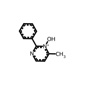 Cc1ccnc(-c2ccccc2)[n+]1O